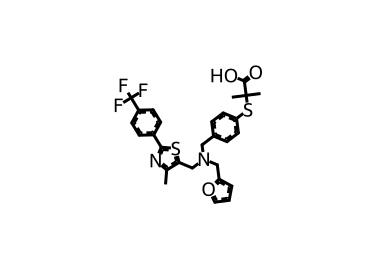 Cc1nc(-c2ccc(C(F)(F)F)cc2)sc1CN(Cc1ccc(SC(C)(C)C(=O)O)cc1)Cc1ccco1